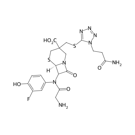 NCC(=O)N(c1ccc(O)c(F)c1)C1C(=O)N2CC(CSc3nnnn3CCC(N)=O)(C(=O)O)CS[C@H]12